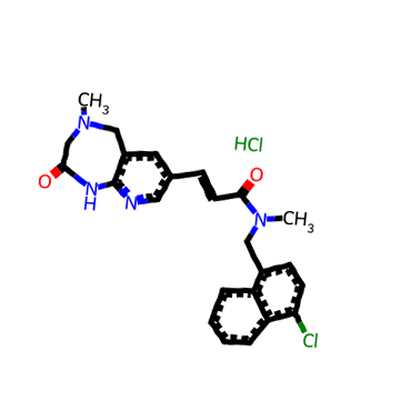 CN1CC(=O)Nc2ncc(/C=C/C(=O)N(C)Cc3ccc(Cl)c4ccccc34)cc2C1.Cl